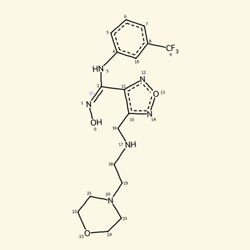 O/N=C(/Nc1cccc(C(F)(F)F)c1)c1nonc1CNCCN1CCOCC1